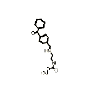 CC(C)(C)OC(=O)NCCNCc1ccc(C(=O)c2ccccc2)cc1